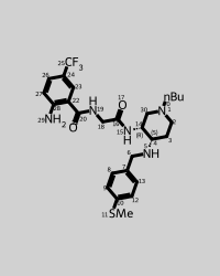 CCCCN1CC[C@H](NCc2ccc(SC)cc2)[C@H](NC(=O)CNC(=O)c2cc(C(F)(F)F)ccc2N)C1